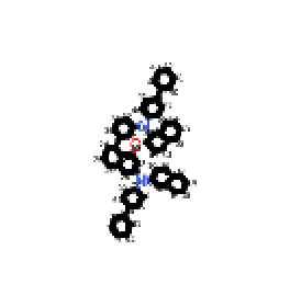 c1ccc(-c2ccc(N(c3ccc4ccccc4c3)c3cc4c5c(cccc5c3)-c3cccc(N(c5ccc(-c6ccccc6)cc5)c5cccc6ccccc56)c3O4)cc2)cc1